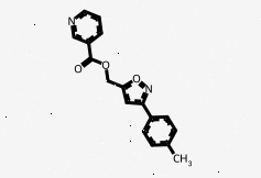 Cc1ccc(-c2cc(COC(=O)c3cccnc3)on2)cc1